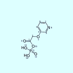 O=C(COc1cccnc1)OP(=O)(O)O